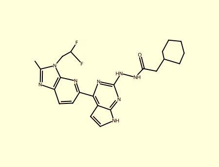 Cc1nc2ccc(-c3nc(NNC(=O)CC4CCCCC4)nc4[nH]ccc34)nc2n1CC(F)F